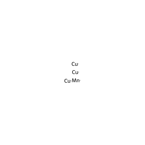 [Cu].[Cu].[Cu].[Mn]